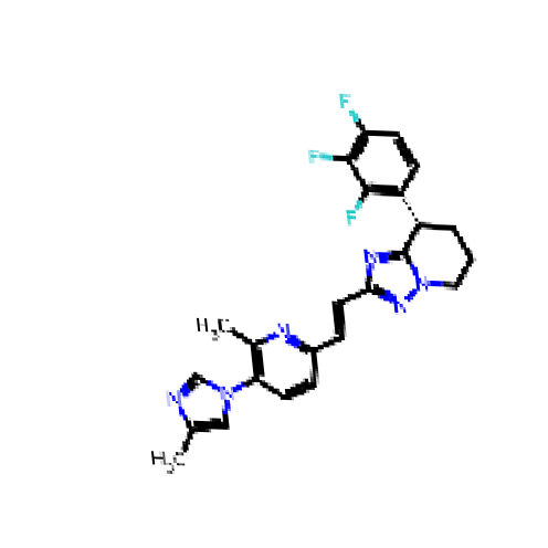 Cc1cn(-c2ccc(/C=C/c3nc4n(n3)CCC[C@H]4c3ccc(F)c(F)c3F)nc2C)cn1